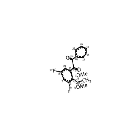 CO[Si](C)(OC)c1c(F)cc(F)cc1C(=O)C(=O)c1ccccc1